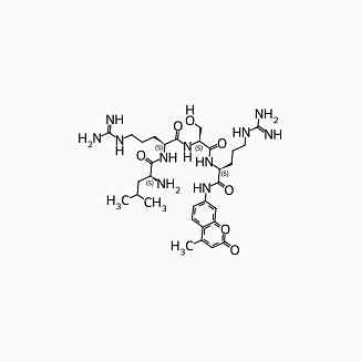 Cc1cc(=O)oc2cc(NC(=O)[C@H](CCCNC(=N)N)NC(=O)[C@H](CO)NC(=O)[C@H](CCCNC(=N)N)NC(=O)[C@@H](N)CC(C)C)ccc12